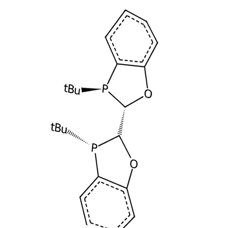 CC(C)(C)[P@@]1c2ccccc2OC1[C@H]1Oc2ccccc2[P@]1C(C)(C)C